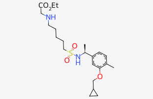 CCOC(=O)CNCCCCCS(=O)(=O)N[C@@H](C)c1ccc(C)c(OCC2CC2)c1